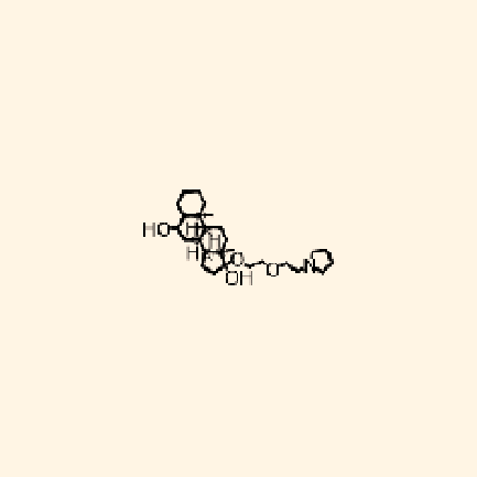 C[C@]12CCCCC1C(O)C[C@@H]1[C@H]2CC[C@@]2(C)[C@H]1CCC2(O)OCCOCCN1CCCC1